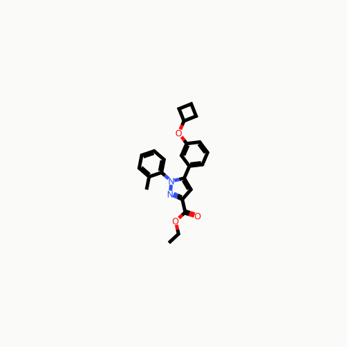 CCOC(=O)c1cc(-c2cccc(OC3CCC3)c2)n(-c2ccccc2C)n1